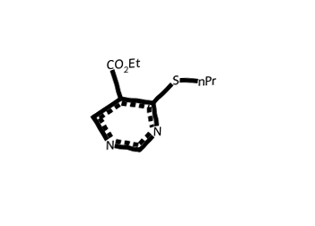 CCCSc1ncncc1C(=O)OCC